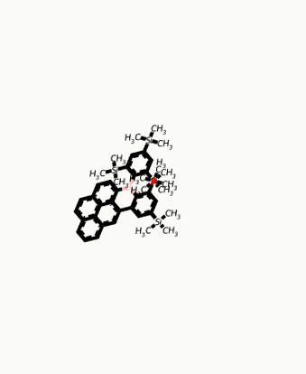 C[Si](C)(C)c1cc2c(c([Si](C)(C)C)c1)B(c1c([Si](C)(C)C)cc([Si](C)(C)C)cc1[Si](C)(C)C)c1ccc3ccc4cccc5cc-2c1c3c45